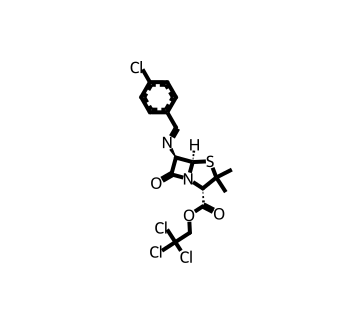 CC1(C)S[C@@H]2[C@H](N=Cc3ccc(Cl)cc3)C(=O)N2[C@H]1C(=O)OCC(Cl)(Cl)Cl